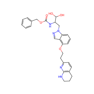 O=C(NC(Cn1ncc2c(OCCc3ccc4c(n3)NCCC4)cccc21)C(O)O)OCc1ccccc1